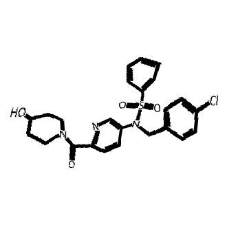 O=C(c1ccc(N(Cc2ccc(Cl)cc2)S(=O)(=O)c2ccccc2)cn1)N1CCC(O)CC1